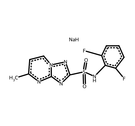 Cc1ccn2nc(S(=O)(=O)Nc3c(F)cccc3F)nc2n1.[NaH]